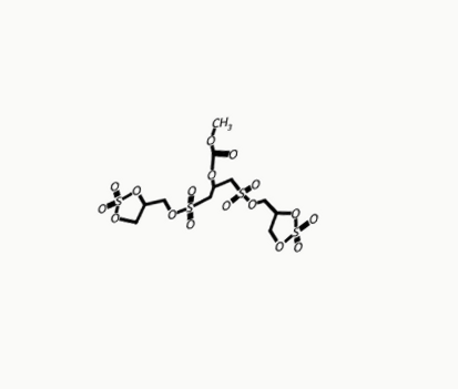 COC(=O)OC(CS(=O)(=O)OCC1COS(=O)(=O)O1)CS(=O)(=O)OCC1COS(=O)(=O)O1